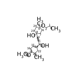 CCCOC1(C)CCC(O)(C#CC(O)C2=CC=C(OC)C(C)C2)CC1